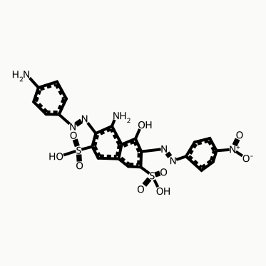 Nc1ccc(/N=N/c2c(S(=O)(=O)O)cc3cc(S(=O)(=O)O)c(/N=N/c4ccc([N+](=O)[O-])cc4)c(O)c3c2N)cc1